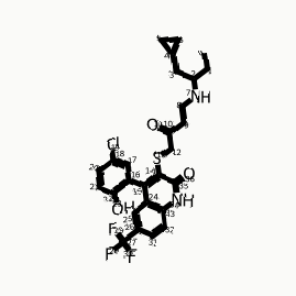 CCC(CC1CC1)NCCC(=O)CSc1c(-c2cc(Cl)ccc2O)c2cc(C(F)(F)F)ccc2[nH]c1=O